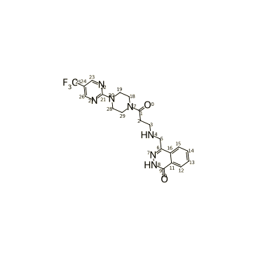 O=C(CCNCc1n[nH]c(=O)c2ccccc12)N1CCN(c2ncc(C(F)(F)F)cn2)CC1